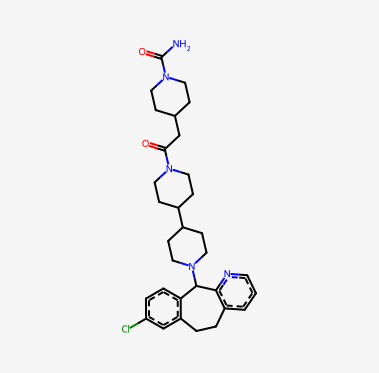 NC(=O)N1CCC(CC(=O)N2CCC(C3CCN(C4c5ccc(Cl)cc5CCc5cccnc54)CC3)CC2)CC1